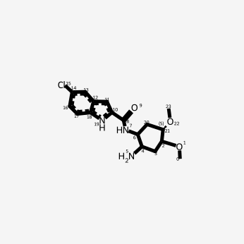 COC1CC(N)C(NC(=O)c2cc3cc(Cl)ccc3[nH]2)C[C@@H]1OC